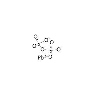 O=S(=O)([O-])OS(=O)(=O)[O-].[Pb+2]